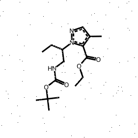 CCOC(=O)c1c(C)cnn1C(CC)CNC(=O)OC(C)(C)C